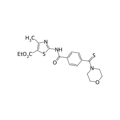 CCOC(=O)c1sc(NC(=O)c2ccc(C(=S)N3CCOCC3)cc2)nc1C